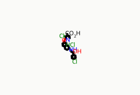 Cl.O=C(O)c1ccnc(Oc2ccc3c(c2)C[C@@H](NC[C@H](O)c2ccc(Cl)cc2)CC3)c1Cl